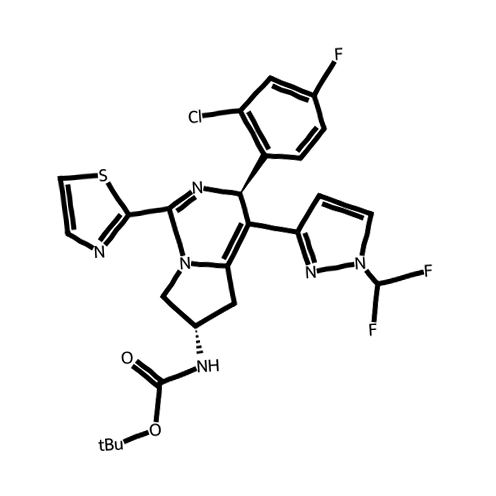 CC(C)(C)OC(=O)N[C@H]1CC2=C(c3ccn(C(F)F)n3)[C@H](c3ccc(F)cc3Cl)N=C(c3nccs3)N2C1